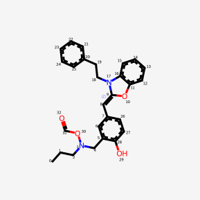 CCCN(Cc1cc(/C=C2\Oc3ccccc3N2CCc2ccccc2)ccc1O)OC=O